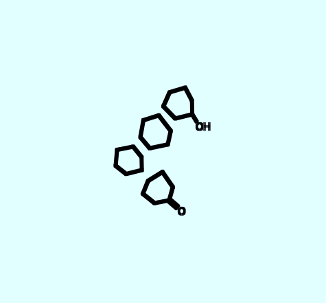 C1CCCCC1.C1CCCCC1.O=C1CCCCC1.OC1CCCCC1